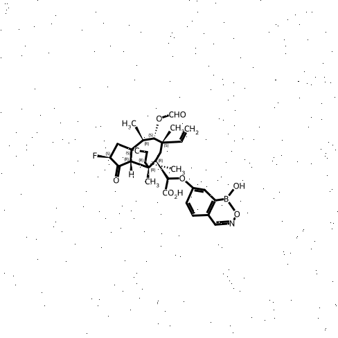 C=C[C@]1(C)C[C@@H](C(Oc2ccc3c(c2)B(O)ON=C3)C(=O)O)[C@@]2(C)[C@H](C)CC[C@]3(C[C@H](F)C(=O)[C@H]32)[C@@H](C)[C@@H]1OC=O